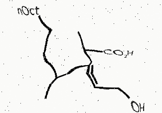 CCCCCCCCCCC(C)C(=CCO)C(C)C(=O)O